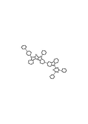 c1ccc(-c2ccc(-n3c4ccccc4c4c3nc3n(-c5ccccc5)c5cc(-c6ccc7c(c6)c6ccccc6n7-c6nc(-c7ccccc7)nc(-c7ccccc7)n6)ccc5n43)cc2)cc1